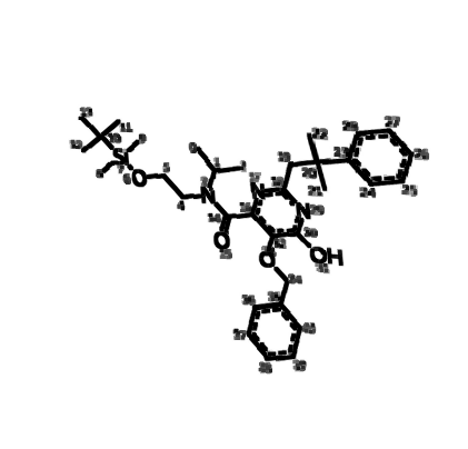 CC(C)N(CCO[Si](C)(C)C(C)(C)C)C(=O)c1nc(CC(C)(C)c2ccccc2)nc(O)c1OCc1ccccc1